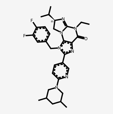 CCN1C(=O)c2nc(-c3ccc(N4CC(C)CC(C)C4)nc3)n(Cc3ccc(F)c(F)c3)c2N2C[C@@H](C(C)C)N=C12